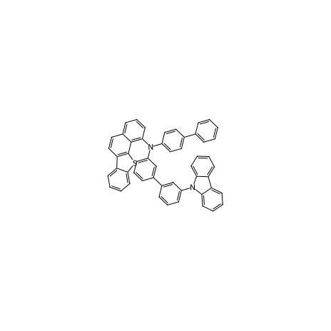 c1ccc(-c2ccc(N(c3cccc(-c4cccc(-n5c6ccccc6c6ccccc65)c4)c3)c3cccc4ccc5c6ccccc6sc5c34)cc2)cc1